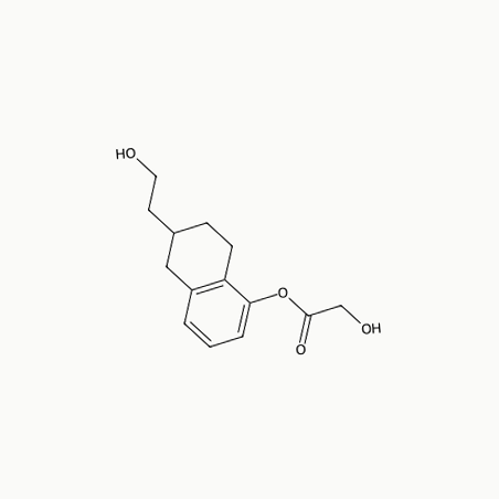 O=C(CO)Oc1cccc2c1CCC(CCO)C2